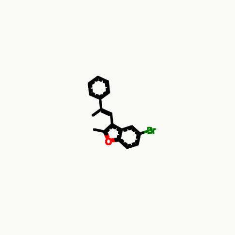 C/C(=C\c1c(C)oc2ccc(Br)cc12)c1ccccc1